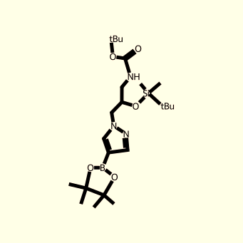 CC(C)(C)OC(=O)NCC(Cn1cc(B2OC(C)(C)C(C)(C)O2)cn1)O[Si](C)(C)C(C)(C)C